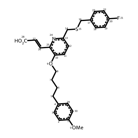 COc1ccc(CCCCOc2ccc(CSCc3ccc(F)cc3)nc2C=CC(=O)O)cc1